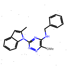 COc1nnc(-n2c(C)cc3ccccc32)nc1NCc1ccccc1